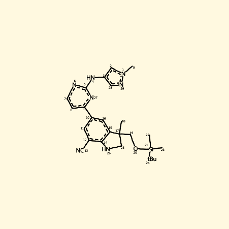 Cn1cc(Nc2nccc(-c3cc(C#N)c4c(c3)C(C)(CO[Si](C)(C)C(C)(C)C)CN4)n2)cn1